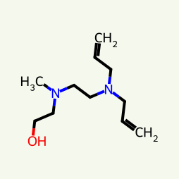 C=CCN(CC=C)CCN(C)CCO